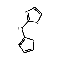 c1csc(Nc2nccs2)c1